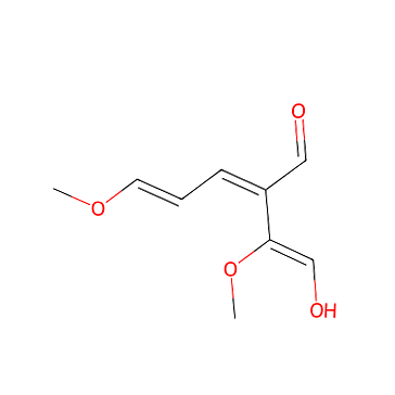 CO/C=C/C=C(C=O)\C(=C\O)OC